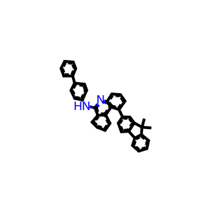 CC1(C)c2ccccc2-c2ccc(-c3cccc4nc(Nc5ccc(-c6ccccc6)cc5)c5ccccc5c34)cc21